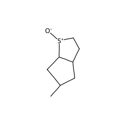 CC1CC2CC[S+]([O-])C2C1